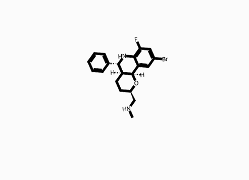 CNC[C@H]1CC[C@@H]2[C@H](O1)c1cc(Br)cc(F)c1N[C@H]2c1ccccc1